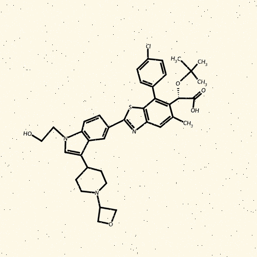 Cc1cc2nc(-c3ccc4c(c3)c(C3CCN(C5COC5)CC3)cn4CCO)sc2c(-c2ccc(Cl)cc2)c1[C@H](OC(C)(C)C)C(=O)O